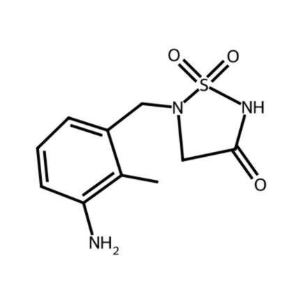 Cc1c(N)cccc1CN1CC(=O)NS1(=O)=O